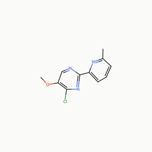 COc1cnc(-c2cccc(C)n2)nc1Cl